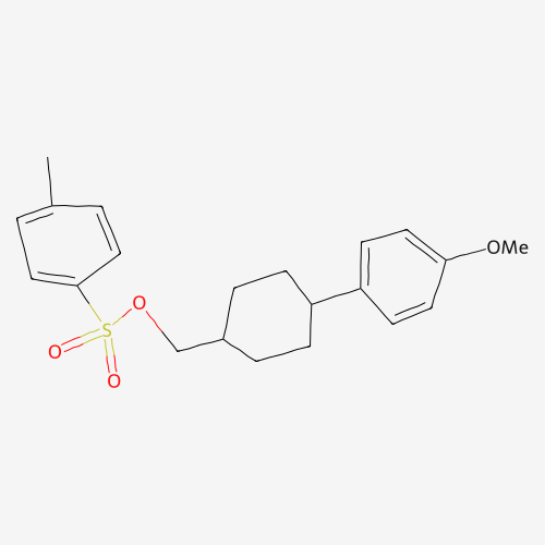 COc1ccc(C2CCC(COS(=O)(=O)c3ccc(C)cc3)CC2)cc1